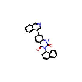 O=c1[nH]c2cc(-c3cncc4ccccc34)ccc2c(=O)n1-c1cccc2ccccc12